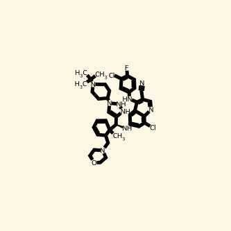 CC1([C@H](Nc2cc(Cl)c3ncc(C#N)c(Nc4ccc(F)c(Cl)c4)c3c2)C2=CN(C3CCN(C(C)(C)C)CC3)NN2)C=CC=CC1CN1CCOCC1